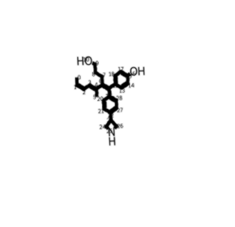 C\C=C/C=C(C)/C(CCCO)=C(/c1ccc(O)cc1)c1ccc(C2CNC2)cc1